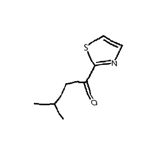 CC(C)CC(=O)c1nccs1